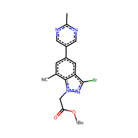 Cc1ncc(-c2cc(C#N)c3c(c2)c(Br)nn3CC(=O)OC(C)(C)C)cn1